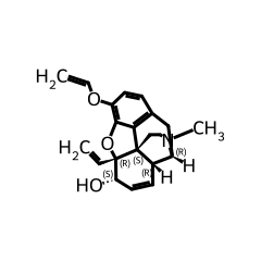 C=COc1ccc2c3c1O[C@@]1(C=C)[C@@H](O)C=C[C@H]4[C@@H](C2)N(C)CC[C@@]341